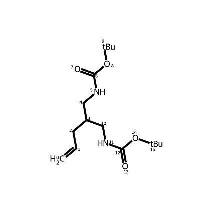 C=CCC(CNC(=O)OC(C)(C)C)CNC(=O)OC(C)(C)C